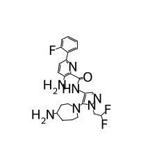 Nc1ccc(-c2ccccc2F)nc1C(=O)Nc1cnn(CC(F)F)c1N1CCCC(N)CC1